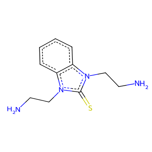 NCCn1c(=S)n(CCN)c2ccccc21